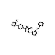 O=C1N=C(N2CCN(c3nsnc3Cl)CC2)S/C1=C/c1cccc(OCc2ccccc2)c1